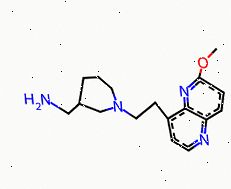 COc1ccc2nccc(CCN3CCCC(CN)C3)c2n1